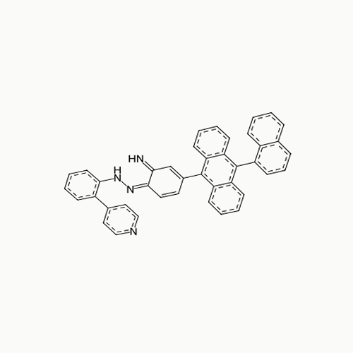 N=C1C=C(c2c3ccccc3c(-c3cccc4ccccc34)c3ccccc23)C=C/C1=N/Nc1ccccc1-c1ccncc1